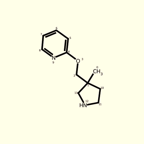 CC1(COc2ccccn2)CCNC1